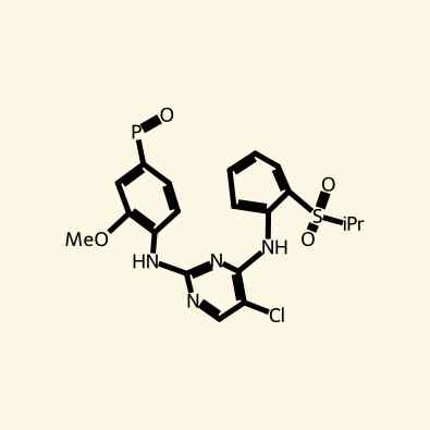 COc1cc(P=O)ccc1Nc1ncc(Cl)c(Nc2ccccc2S(=O)(=O)C(C)C)n1